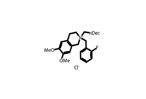 CCCCCCCCCCC[N+]1(Cc2ccccc2F)CCc2cc(OC)c(OC)cc2C1.[Cl-]